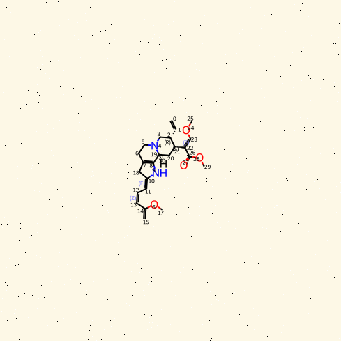 C=C[C@H]1CN2CCC3=C(N/C(=C/C=C\C(=C)OC)C3)[C@@H]2C[C@@H]1/C(=C\OC)C(=O)OC